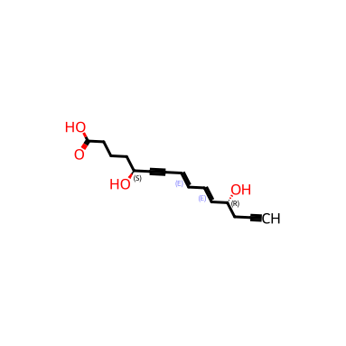 C#CC[C@@H](O)/C=C/C=C/C#C[C@@H](O)CCCC(=O)O